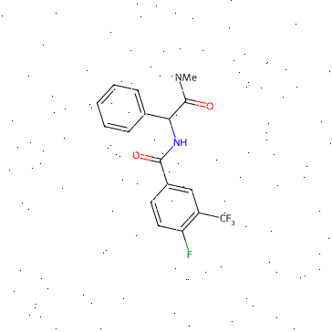 CNC(=O)C(NC(=O)c1ccc(F)c(C(F)(F)F)c1)c1ccccc1